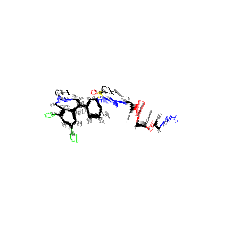 C=S(=O)(NCCOCCOCCN)c1cccc(C2CN(C)Cc3c(Cl)cc(Cl)cc32)c1